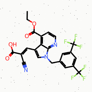 CCOC(=O)c1ccnc2c1c(/C=C(\C#N)C(=O)O)cn2Cc1cc(C(F)(F)F)cc(C(F)(F)F)c1